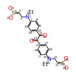 CCN(CC=S(=O)=O)c1ccc(C(=O)C(=O)c2ccc(N(CC)CC=S(=O)=O)cc2)cc1